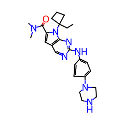 CCC1(n2c(C(=O)N(C)C)cc3cnc(Nc4ccc(N5CCNCC5)cc4)nc32)CCC1